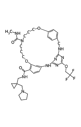 CNC(=O)N1CCCOc2ccc(cc2)CNc2nc(nc(OCC(F)(F)F)n2)Nc2ccc(C(=O)NCC3(CN4CCCC4)CC3)c(c2)OCCC1